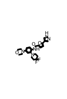 O=C(Nc1ccc(N2CCOCC2)cc1N1CCC(F)(F)CC1)c1ccc(-c2cn[nH]c2)o1